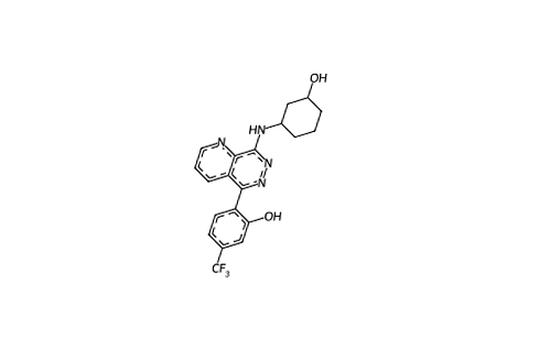 Oc1cc(C(F)(F)F)ccc1-c1nnc(NC2CCCC(O)C2)c2ncccc12